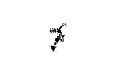 COCCCc1cc(CN(C(=O)C(CNC(=O)O)Cc2ccc(OCCOc3c(Cl)cc(C)cc3Cl)cc2)C2CC2)cc(O[Si](C)(C)C(C)(C)C)n1